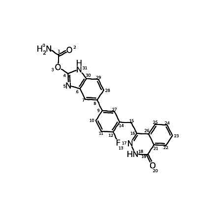 NC(=O)Oc1nc2cc(-c3ccc(F)c(Cc4n[nH]c(=O)c5ccccc45)c3)ccc2[nH]1